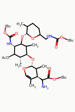 CC(=O)OC1[C@H](NC(=O)OC(C)(C)C)C(O[C@H]2OC(CNC(=O)OC(C)(C)C)CCC2C)C(C)[C@@H](O[C@H]2OC=C(C)[C@H](C(N)C(=O)OC(C)(C)C)C2C)[C@@H]1C